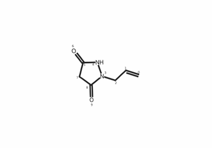 C=CCN1NC(=O)CC1=O